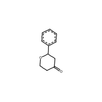 O=C1CCOC(c2ccccc2)C1